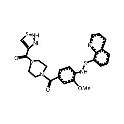 COc1cc(C(=O)N2CCN(C(=O)C3=CSNN3)CC2)ccc1NSc1cccc2cccnc12